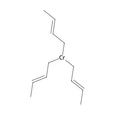 CC=C[CH2][Cr]([CH2]C=CC)[CH2]C=CC